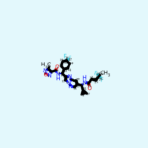 Cc1nonc1C(=O)N[C@H](c1cn2ncc(C(NC(=O)CCC(C)(F)F)C3CC3)cc2n1)C1CCC(F)(F)CC1